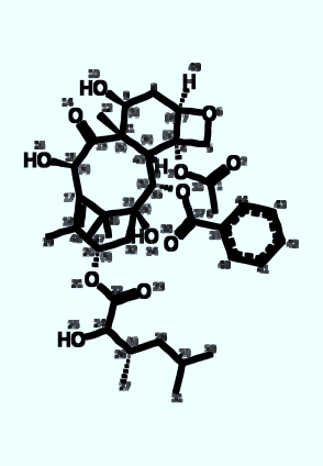 CC(=O)O[C@@]12CO[C@@H]1C[C@H](O)[C@@]1(C)C(=O)[C@H](O)C3=C(C)[C@@H](OC(=O)C(O)[C@@H](C)CC(C)C)C[C@@](O)([C@@H](OC(=O)c4ccccc4)[C@H]21)C3(C)C